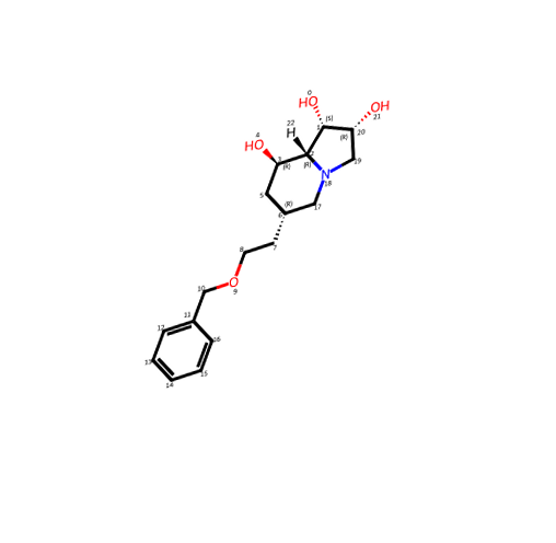 O[C@H]1[C@H]2[C@H](O)C[C@@H](CCOCc3ccccc3)CN2C[C@H]1O